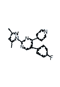 Cc1cc(C)n(-c2ncc(-c3ccc(F)cc3)c(-c3ccncc3)n2)n1